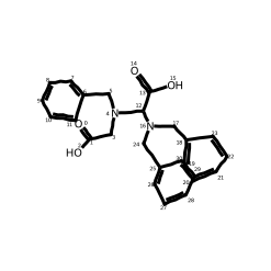 O=C(O)CN(Cc1ccccc1)C(C(=O)O)N(Cc1ccccc1)Cc1ccccc1